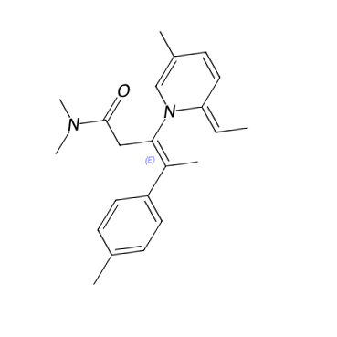 CC=C1C=CC(C)=CN1/C(CC(=O)N(C)C)=C(\C)c1ccc(C)cc1